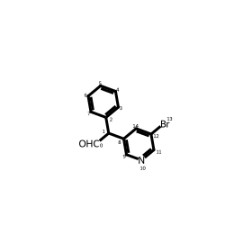 O=CC(c1ccccc1)c1cncc(Br)c1